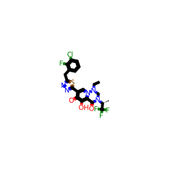 CCN1CN([C@H](C)C(F)(F)F)C(=O)c2c(O)c(=O)c(-c3nnc(Cc4cccc(Cl)c4F)s3)cn21